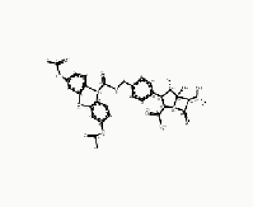 CC(=O)Oc1ccc2c(c1)Oc1cc(OC(C)=O)ccc1N2C(=O)OCc1ccc(C2C(C(=O)O)N3C(=O)[C@H]([C@@H](C)O)[C@H]3[C@H]2C)cc1